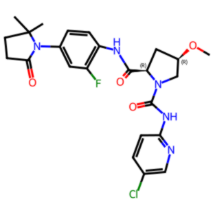 CO[C@@H]1C[C@H](C(=O)Nc2ccc(N3C(=O)CCC3(C)C)cc2F)N(C(=O)Nc2ccc(Cl)cn2)C1